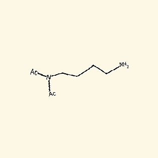 CC(=O)N(CCCCN)C(C)=O